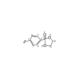 O=P1(c2ccc(F)cc2)OCCO1